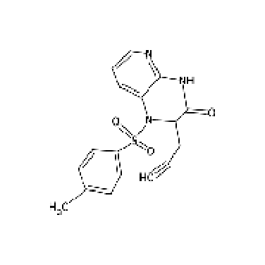 C#CCC1C(=O)Nc2ncccc2N1S(=O)(=O)c1ccc(C)cc1